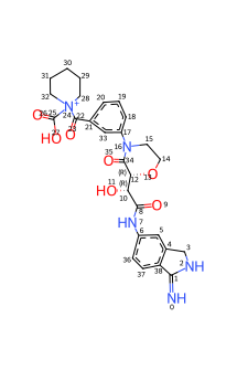 N=C1NCc2cc(NC(=O)[C@H](O)[C@H]3OCCN(c4cccc(C(=O)[N+]5(C(=O)O)CCCCC5)c4)C3=O)ccc21